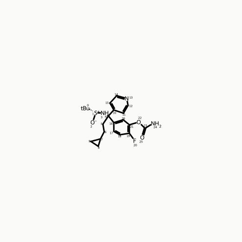 CC(C)(C)[S@@+]([O-])NC(CCC1CC1)(c1ccncc1)c1ccc(F)c(OC(N)=O)c1